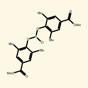 COC(=O)c1cc(C(C)(C)C)c(OP(Cl)Oc2c(C(C)(C)C)cc(C(=O)OC)cc2C(C)(C)C)c(C(C)(C)C)c1